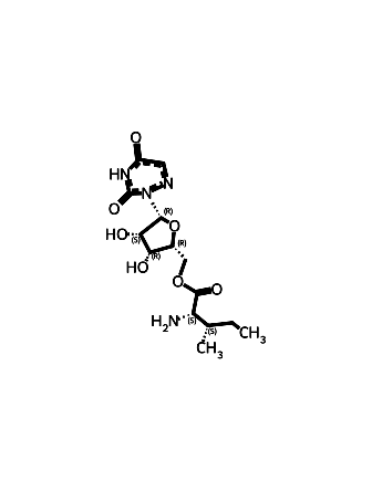 CC[C@H](C)[C@H](N)C(=O)OC[C@H]1O[C@@H](n2ncc(=O)[nH]c2=O)[C@@H](O)[C@H]1O